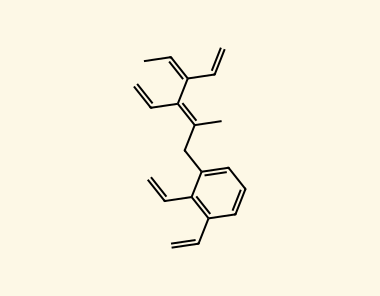 C=CC(=C/C)/C(C=C)=C(\C)Cc1cccc(C=C)c1C=C